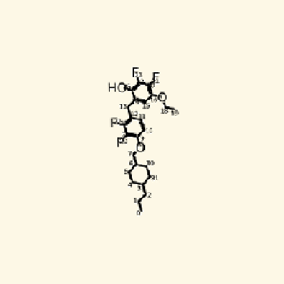 CCCC1CCC(COc2ccc(Cc3cc(OCC)c(F)c(F)c3O)c(F)c2F)CC1